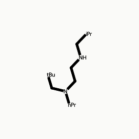 CCCN(CCNCC(C)C)CC(C)(C)C